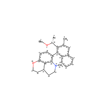 CC(=O)[C@@H](OC(C)(C)C)c1c(C)cc2ccccc2c1-c1ccc2c3c1N(C)CCC3CCO2